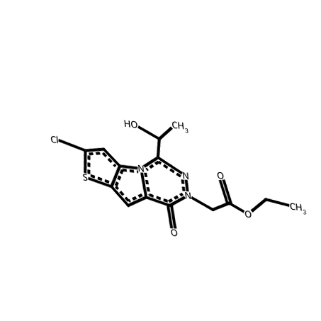 CCOC(=O)Cn1nc(C(C)O)n2c(cc3sc(Cl)cc32)c1=O